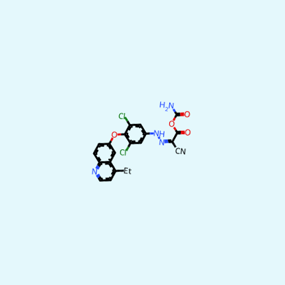 CCc1ccnc2ccc(Oc3c(Cl)cc(NN=C(C#N)C(=O)OC(N)=O)cc3Cl)cc12